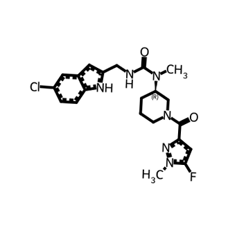 CN(C(=O)NCc1cc2cc(Cl)ccc2[nH]1)[C@@H]1CCCN(C(=O)c2cc(F)n(C)n2)C1